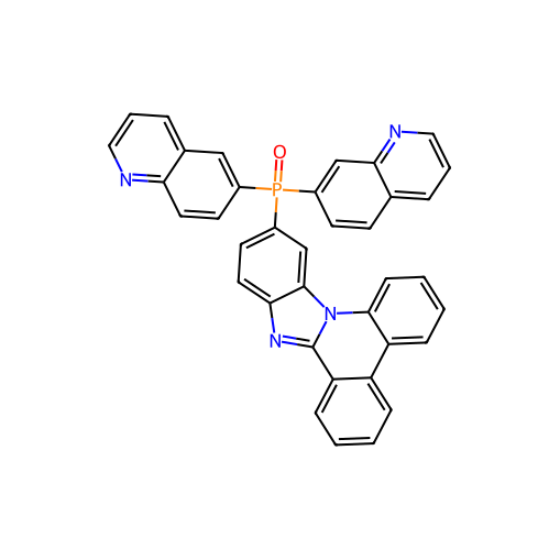 O=P(c1ccc2ncccc2c1)(c1ccc2cccnc2c1)c1ccc2nc3c4ccccc4c4ccccc4n3c2c1